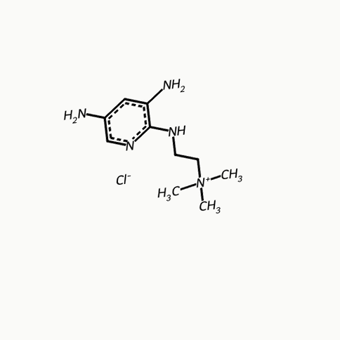 C[N+](C)(C)CCNc1ncc(N)cc1N.[Cl-]